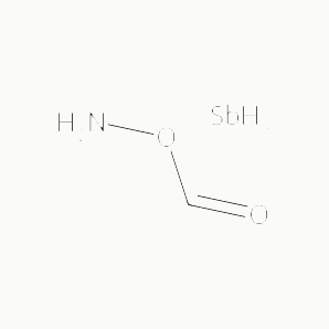 NOC=O.[SbH3]